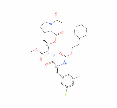 COC(=O)[C@@H](NC(=O)[C@H](Cc1cc(F)cc(F)c1)NC(=O)OCCC1CCCCC1)[C@@H](C)OC(=O)C1CCCN1C(C)=O